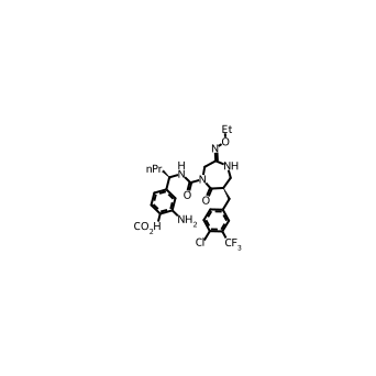 CCC[C@@H](NC(=O)N1C/C(=N/OCC)NC[C@@H](Cc2ccc(Cl)c(C(F)(F)F)c2)C1=O)c1ccc(C(=O)O)c(N)c1